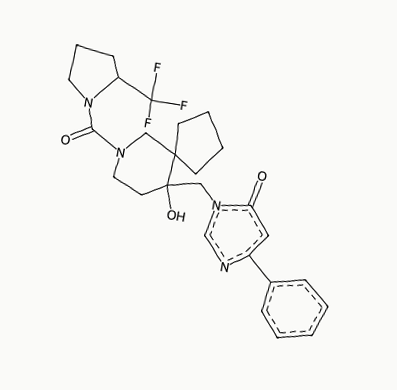 O=C(N1CCC(O)(Cn2cnc(-c3ccccc3)cc2=O)C2(CCCC2)C1)N1CCCC1C(F)(F)F